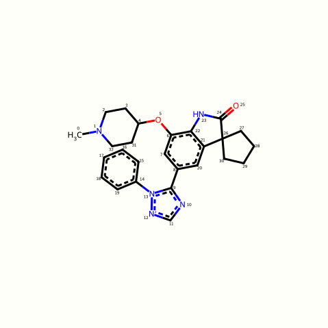 CN1CCC(Oc2cc(-c3ncnn3-c3ccccc3)cc3c2NC(=O)C32CCCC2)CC1